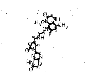 Cc1cc(F)c(OCCNC[C@H]2CN(c3cnc4c(n3)NC(=O)CO4)C(=O)O2)c2c1NCC(=O)N2C